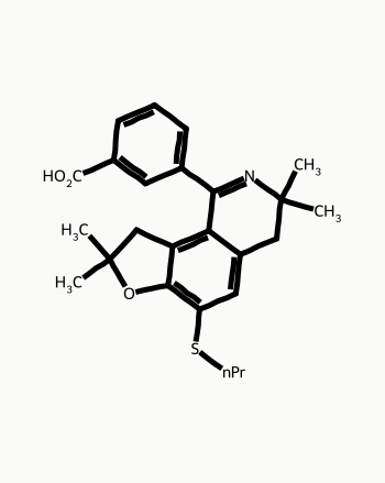 CCCSc1cc2c(c3c1OC(C)(C)C3)C(c1cccc(C(=O)O)c1)=NC(C)(C)C2